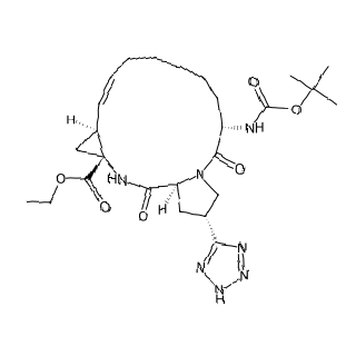 CCOC(=O)[C@@]12C[C@H]1/C=C\CCCCC[C@H](NC(=O)OC(C)(C)C)C(=O)N1C[C@H](c3nn[nH]n3)C[C@H]1C(=O)N2